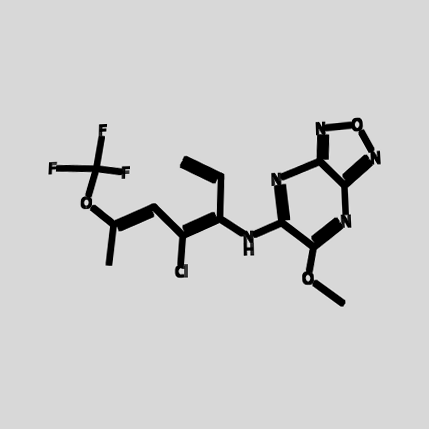 C=C/C(Nc1nc2nonc2nc1OC)=C(Cl)\C=C(/C)OC(F)(F)F